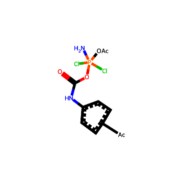 CC(=O)OP(N)(Cl)(Cl)OC(=O)Nc1ccc(C(C)=O)cc1